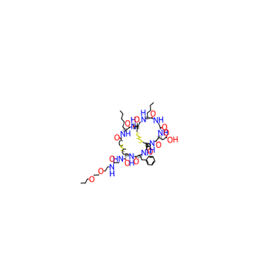 CCCCC[C@@H]1NC(=O)CSC[C@@H](C(=O)NCC(=O)NCCOCCOCCC)NC(=O)[C@H](Cc2ccccc2)NC(=O)[C@@H]2CSSC[C@H](NC1=O)C(=O)N[C@@H](CCCC)C(=O)NCC(=O)N[C@@H](CC(=O)O)C(=O)N2